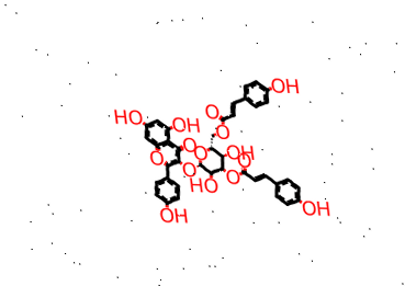 O=C(/C=C/c1ccc(O)cc1)OC[C@H]1O[C@@H](Oc2c(-c3ccc(O)cc3)oc3cc(O)cc(O)c3c2=O)C(O)C(OC(=O)/C=C/c2ccc(O)cc2)[C@@H]1O